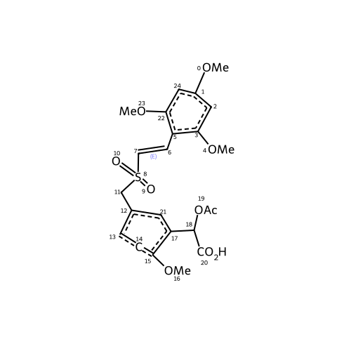 COc1cc(OC)c(/C=C/S(=O)(=O)Cc2ccc(OC)c(C(OC(C)=O)C(=O)O)c2)c(OC)c1